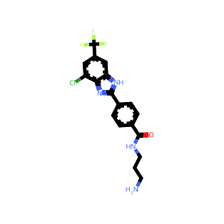 NCCCNC(=O)c1ccc(-c2nc3c(Cl)cc(C(F)(F)F)cc3[nH]2)cc1